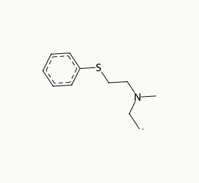 [CH2]CN(C)CCSc1ccccc1